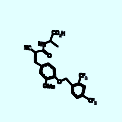 COc1cc(C=C(C#N)C(=O)NC(C)C(=O)O)ccc1OCc1ccc(C(F)(F)F)cc1C(F)(F)F